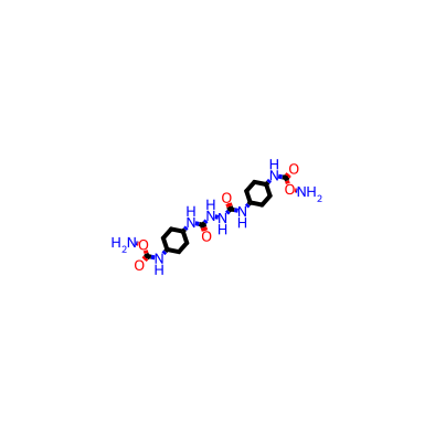 NOC(=O)NC1CCC(NC(=O)NNC(=O)NC2CCC(NC(=O)ON)CC2)CC1